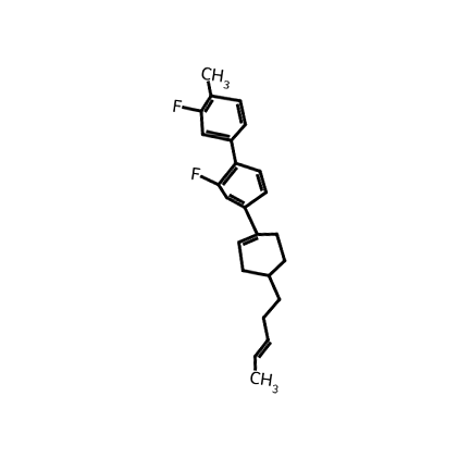 CC=CCCC1CC=C(c2ccc(-c3ccc(C)c(F)c3)c(F)c2)CC1